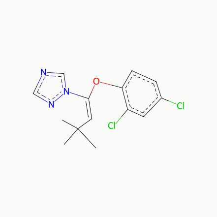 CC(C)(C)C=C(Oc1ccc(Cl)cc1Cl)n1cncn1